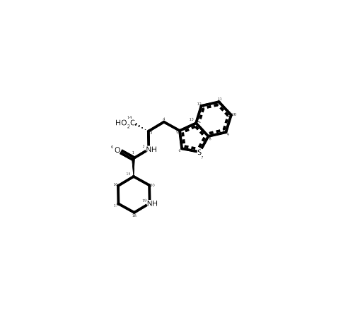 O=C(N[C@@H](Cc1csc2ccccc12)C(=O)O)[C@@H]1CCCNC1